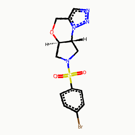 O=S(=O)(c1ccc(Br)cc1)N1C[C@@H]2[C@@H](C1)OCc1cnnn12